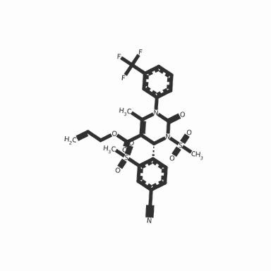 C=CCOC(=O)C1=C(C)N(c2cccc(C(F)(F)F)c2)C(=O)N(S(C)(=O)=O)[C@@H]1c1ccc(C#N)cc1S(C)(=O)=O